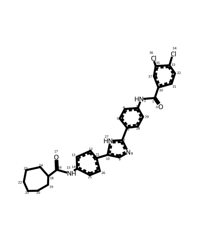 O=C(Nc1ccc(-c2ncc(-c3ccc(NC(=O)C4CCCCCC4)cc3)[nH]2)cc1)c1ccc(Cl)c(Cl)c1